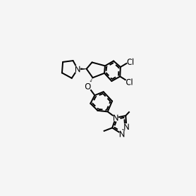 Cc1nnc(C)n1-c1ccc(O[C@H]2c3cc(Cl)c(Cl)cc3C[C@@H]2N2CCCC2)cc1